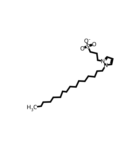 CCCCCCCCCCCCCCCCn1ccc[n+]1CCCS(=O)(=O)[O-]